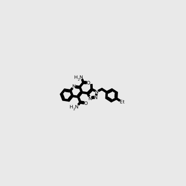 CCc1ccc(Cn2nnc(-c3c(C(N)=O)nc4ccccc4c3C(N)=O)c2C)cc1